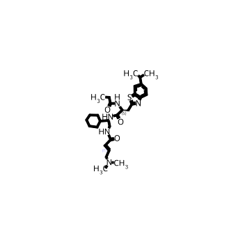 CCC(=O)N[C@@H](Cc1nc2ccc(C(C)C)cc2s1)C(=O)NC(CNC(=O)/C=C/CN(C)C)C1CCCCC1